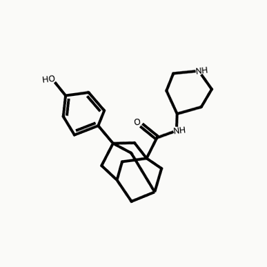 O=C(NC1CCNCC1)C12CC3CC(C1)CC(c1ccc(O)cc1)(C3)C2